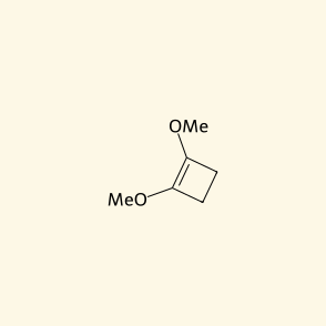 COC1=C(OC)CC1